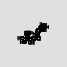 [2H]C([2H])(c1ccc(OC([2H])([2H])C([2H])([2H])[2H])cc1)c1cc(C2OC(CO)C(O)C(O)C2O)ccc1Cl